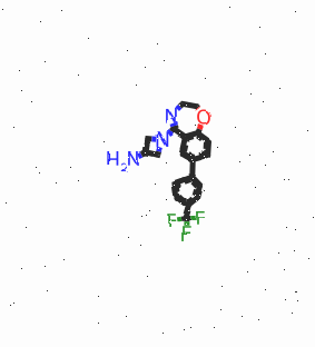 NC1CN(C2=NCCOc3ccc(-c4ccc(C(F)(F)F)cc4)cc32)C1